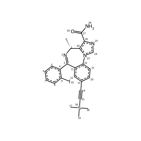 C[C@H]1N=C(c2ccccc2I)c2cc(C#CS(C)(C)C)ccc2-n2cnc(C(N)=O)c21